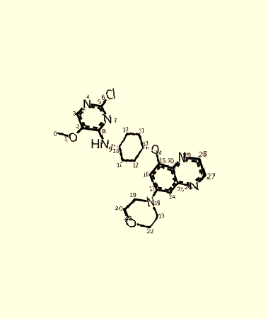 COc1cnc(Cl)nc1N[C@H]1CC[C@@H](Oc2cc(N3CCOCC3)cc3nccnc23)CC1